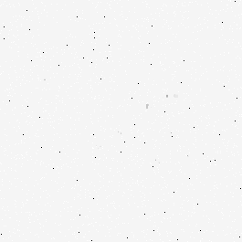 CCCCCNc1nc(N)nc2ccn(Cc3cc(C(=O)O)ccc3OC)c12